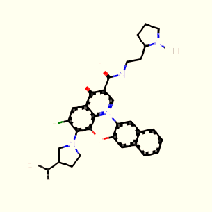 CCC(CC)C1CCN(c2c(F)cc3c(=O)c(C(=O)NCCC4CCCN4C)cn4c3c2Oc2cc3ccccc3cc2-4)C1